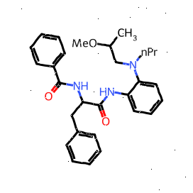 CCCN(CC(C)OC)c1ccccc1NC(=O)C(Cc1ccccc1)NC(=O)c1ccccc1